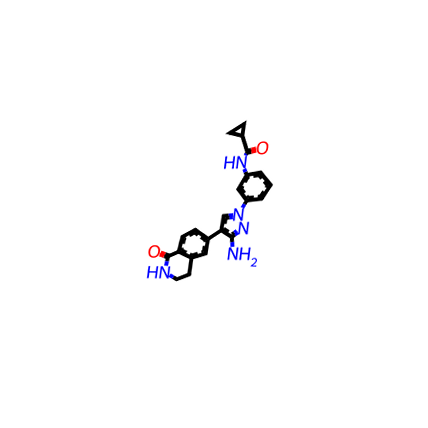 Nc1nn(-c2cccc(NC(=O)C3CC3)c2)cc1-c1ccc2c(c1)CCNC2=O